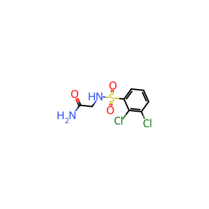 NC(=O)CNS(=O)(=O)c1cccc(Cl)c1Cl